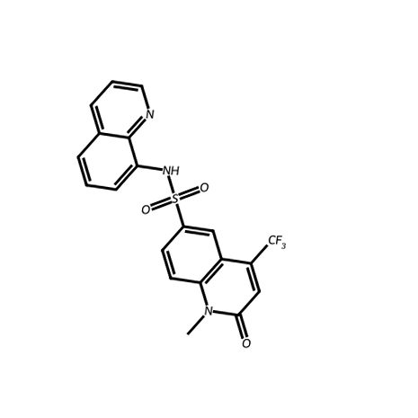 Cn1c(=O)cc(C(F)(F)F)c2cc(S(=O)(=O)Nc3cccc4cccnc34)ccc21